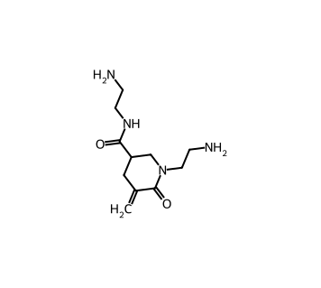 C=C1CC(C(=O)NCCN)CN(CCN)C1=O